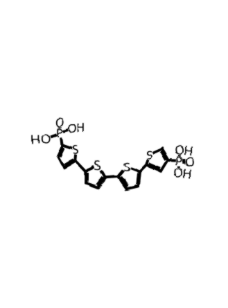 O=P(O)(O)c1csc(-c2ccc(-c3ccc(-c4ccc(P(=O)(O)O)s4)s3)s2)c1